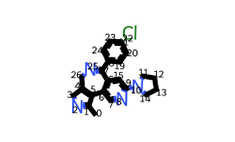 CC1=NCC2=C1c1cnc(N3CCCC3)cc1C(c1ccc(Cl)cc1)=NC2